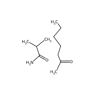 CC(C)C(N)=O.CCCCCC(C)=O